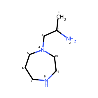 CC(N)CN1CCCNCC1